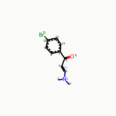 CN(C)/C=C/C(=O)c1ccc(Br)cc1